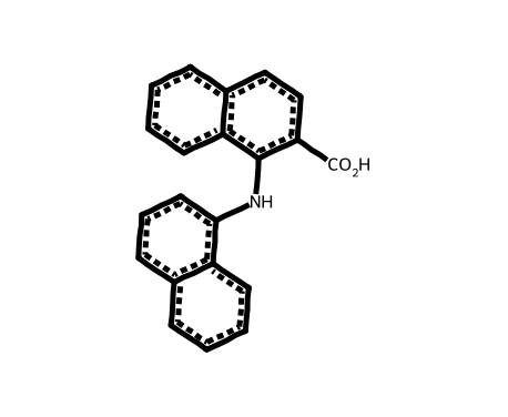 O=C(O)c1ccc2ccccc2c1Nc1cccc2ccccc12